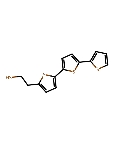 SCCc1ccc(-c2ccc(-c3cccs3)s2)s1